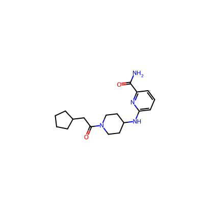 NC(=O)c1[c]ccc(NC2CCN(C(=O)CC3CCCC3)CC2)n1